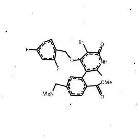 CNCc1ccc(C(=O)OC)c(-c2c(C)[nH]c(=O)c(Br)c2OCc2ccc(F)cc2F)c1